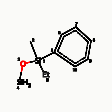 CC[Si](C)(O[SiH3])c1ccccc1